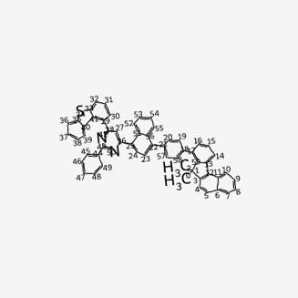 CC1(C)c2ccc3ccccc3c2-c2cccc(-c3ccc(-c4ccc(-c5cc(-c6cccc7sc8ccccc8c67)nc(-c6ccccc6)n5)c5ccccc45)cc3)c21